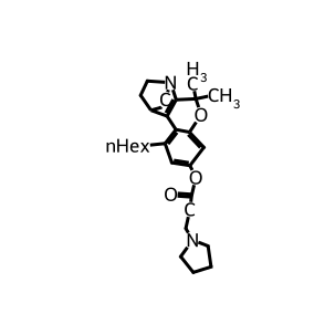 CCCCCCc1cc(OC(=O)CCN2CCCC2)cc2c1C1=C(N3CCC1CC3)C(C)(C)O2